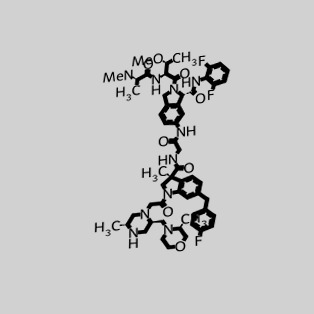 CN[C@@H](C)C(=O)N[C@H](C(=O)N1Cc2ccc(NC(=O)CNC(=O)[C@]3(C)CN(C(=O)CN4C[C@@H](C)NC[C@@H]4CN4CCOC[C@H]4C)c4cc(Cc5ccc(F)cc5)ccc43)cc2[C@H]1C(=O)Nc1c(F)cccc1F)[C@@H](C)OC